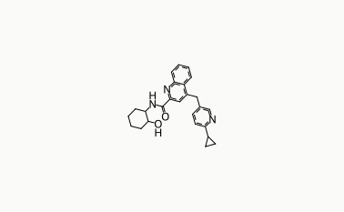 O=C(NC1CCCCC1O)c1cc(Cc2ccc(C3CC3)nc2)c2ccccc2n1